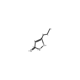 CCCc1cc(=S)ss1